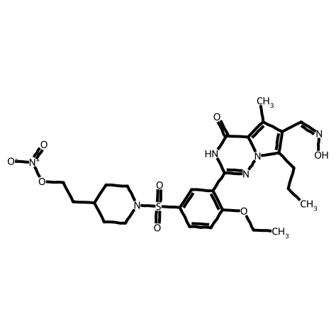 CCCc1c(/C=N\O)c(C)c2c(=O)[nH]c(-c3cc(S(=O)(=O)N4CCC(CCO[N+](=O)[O-])CC4)ccc3OCC)nn12